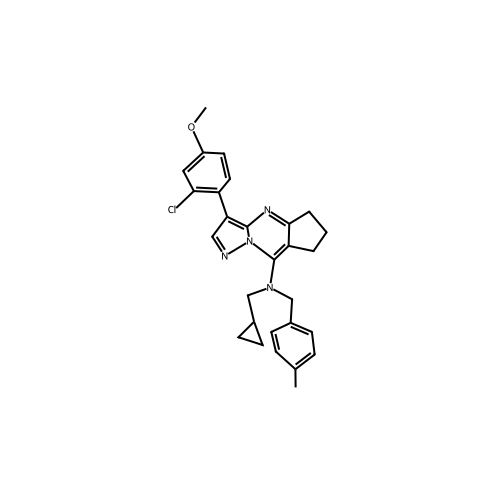 COc1ccc(-c2cnn3c(N(Cc4ccc(C)cc4)CC4CC4)c4c(nc23)CCC4)c(Cl)c1